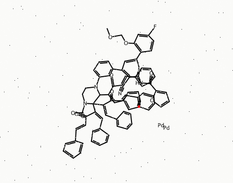 COCOc1cc(F)ccc1-c1cc(-c2cccc(N3CCN(C(=O)[O-])C(C(=Cc4ccccc4)C(=O)C=Cc4ccccc4)(C(=Cc4ccccc4)C(=O)C=Cc4ccccc4)C3C(=Cc3ccccc3)C(=O)C=Cc3ccccc3)c2)c(C#N)c(NC(=O)c2ccco2)n1.[Pd].[Pd]